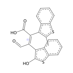 Cc1sc2ccccc2c1/C(C(=O)O)=C(/C=O)c1c(O)sc2ccccc12